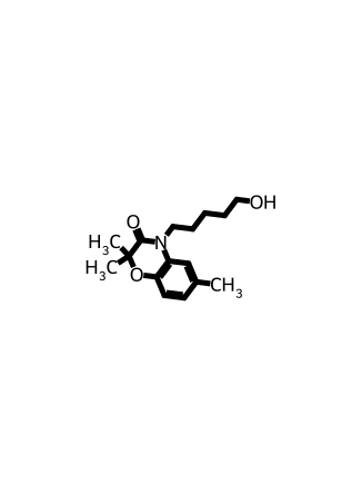 Cc1ccc2c(c1)N(CCCCCO)C(=O)C(C)(C)O2